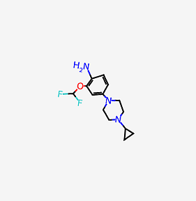 Nc1ccc(N2CCN(C3CC3)CC2)cc1OC(F)F